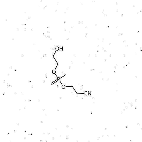 C=P(C)(OCCO)OCCC#N